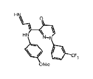 COc1ccc(N/C(=C\C=N)c2nn(-c3cccc(C(F)(F)F)c3)ccc2=O)cc1